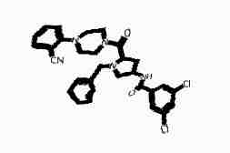 N#Cc1ccccc1N1CCN(C(=O)C2CC(NC(=O)c3cc(Cl)cc(Cl)c3)CN2Cc2ccccc2)CC1